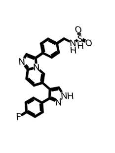 O=[SH](=O)NCc1ccc(-c2cnc3ccc(-c4c[nH]nc4-c4ccc(F)cc4)cn23)cc1